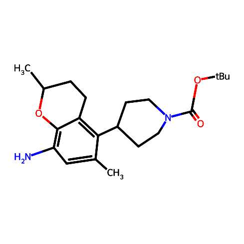 Cc1cc(N)c2c(c1C1CCN(C(=O)OC(C)(C)C)CC1)CCC(C)O2